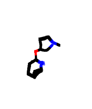 CN1CCC(OC2C=C[C]=CN2)C1